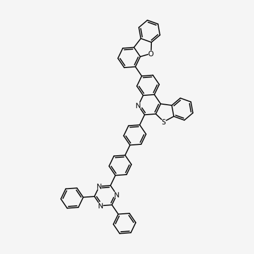 c1ccc(-c2nc(-c3ccccc3)nc(-c3ccc(-c4ccc(-c5nc6cc(-c7cccc8c7oc7ccccc78)ccc6c6c5sc5ccccc56)cc4)cc3)n2)cc1